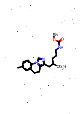 Cc1ccc2c(c1)CCc1c(CC(CCCNC(=O)OC(C)(C)C)C(=O)O)ncn1-2